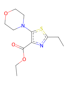 CCOC(=O)c1nc(CC)sc1N1CCOCC1